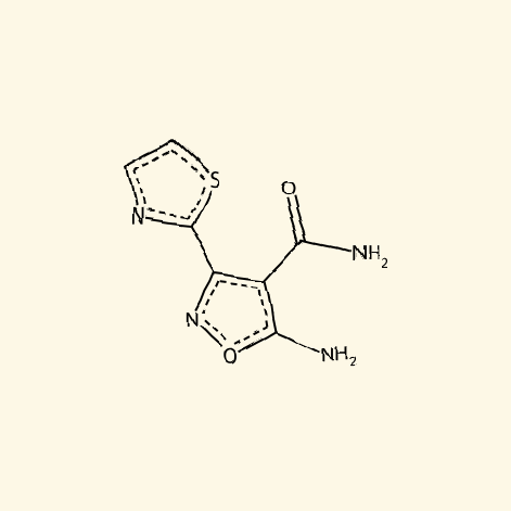 NC(=O)c1c(-c2nccs2)noc1N